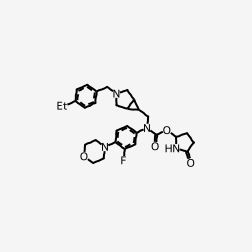 CCc1ccc(CN2CC3C(C2)C3CN(C(=O)OC2CCC(=O)N2)c2ccc(N3CCOCC3)c(F)c2)cc1